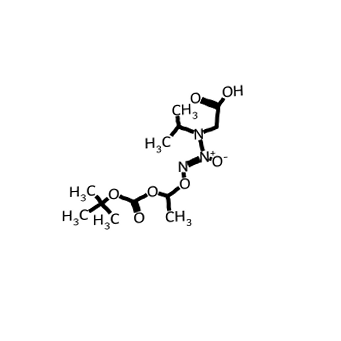 CC(O/N=[N+](\[O-])N(CC(=O)O)C(C)C)OC(=O)OC(C)(C)C